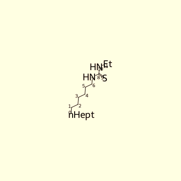 CCCCCCCCCCCCCNC(=S)NCC